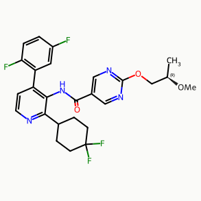 CO[C@H](C)COc1ncc(C(=O)Nc2c(-c3cc(F)ccc3F)ccnc2C2CCC(F)(F)CC2)cn1